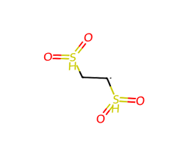 O=[SH](=O)[CH]C[SH](=O)=O